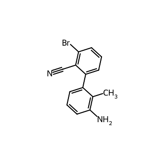 Cc1c(N)cccc1-c1cccc(Br)c1C#N